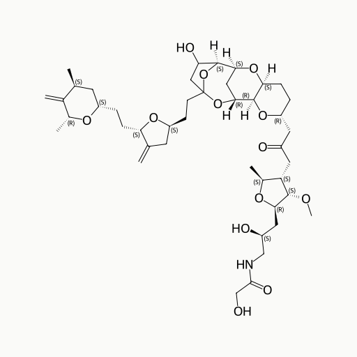 C=C1C[C@H](CCC23CC(O)[C@H](O2)[C@@H]2C[C@@H](O3)[C@@H]3O[C@@H](CC(=O)C[C@@H]4[C@H](OC)[C@@H](C[C@H](O)CNC(=O)CO)O[C@H]4C)CC[C@@H]3O2)O[C@H]1CC[C@H]1C[C@H](C)C(=C)[C@@H](C)O1